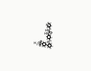 CS(=O)(=O)c1ccc(-c2ccccc2OCc2ccc(NC(=O)NCc3cccnc3)cc2)cc1